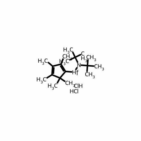 CC1=C(C)C(C)(C)[C]([Hf][N](C(C)(C)C)C(C)(C)C)=C1C.Cl.Cl